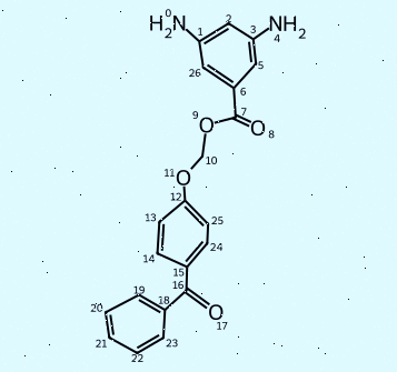 Nc1cc(N)cc(C(=O)OCOc2ccc(C(=O)c3ccccc3)cc2)c1